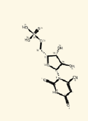 N#Cc1cc(=O)[nH]c(=O)n1[C@@H]1O[C@H](COP(=O)(O)O)[C@H](O)C1O